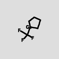 F[C](F)(F)[Ga]1[CH2]CC[CH2]1